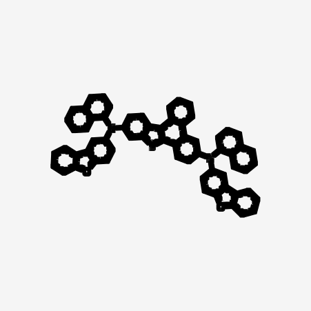 c1ccc2c(N(c3ccc4c(c3)sc3c5ccc(N(c6ccc7oc8ccccc8c7c6)c6cccc7ccccc67)cc5c5ccccc5c43)c3ccc4oc5ccccc5c4c3)cccc2c1